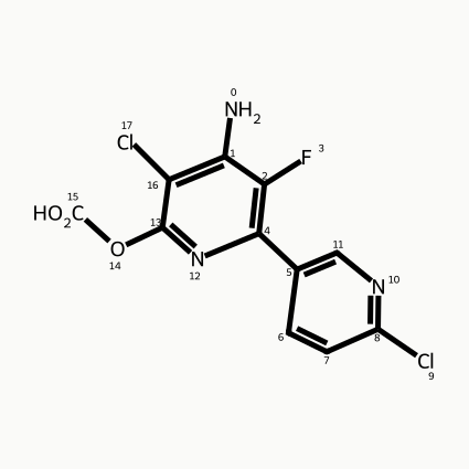 Nc1c(F)c(-c2ccc(Cl)nc2)nc(OC(=O)O)c1Cl